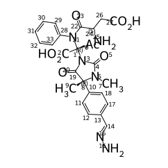 CC(=O)[C@](C(=O)O)(N1C(=O)N(C)[C@](C)(c2ccc(C=NN)cc2)C1=O)N(C(=O)[C@@H](N)CC(=O)O)c1ccccc1